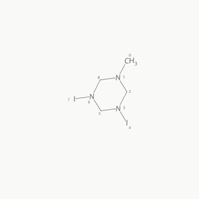 CN1CN(I)CN(I)C1